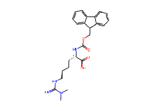 CN(C)C(=N)NCCCC[C@H](NC(=O)OCC1c2ccccc2-c2ccccc21)C(=O)O